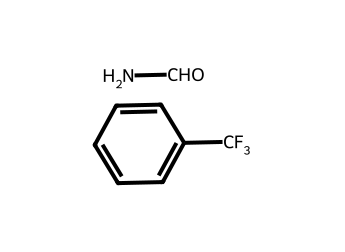 FC(F)(F)c1ccccc1.NC=O